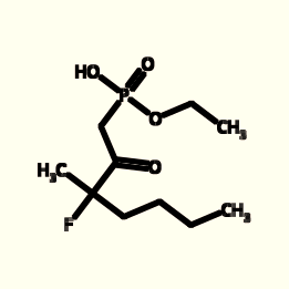 CCCCC(C)(F)C(=O)CP(=O)(O)OCC